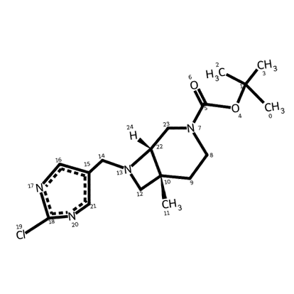 CC(C)(C)OC(=O)N1CC[C@]2(C)CN(Cc3cnc(Cl)nc3)[C@@H]2C1